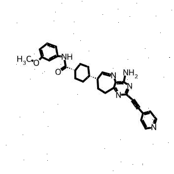 COc1cccc(NC(=O)[C@H]2CC[C@@H](C3C=Nc4c(N)nc(C#Cc5ccncc5)nc4CC3)CC2)c1